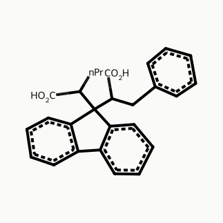 CCCC(C(=O)O)C1(C(Cc2ccccc2)C(=O)O)c2ccccc2-c2ccccc21